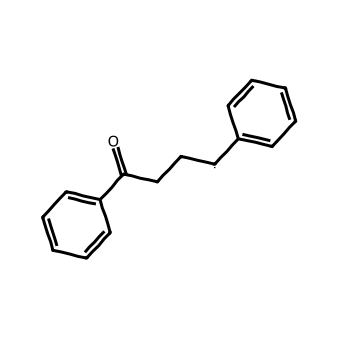 O=C(CC[CH]c1ccccc1)c1ccccc1